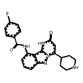 O=C(Nc1cccc2nn3c(C4CCNCC4)cc(=O)[nH]c3c12)c1ccc(F)cc1